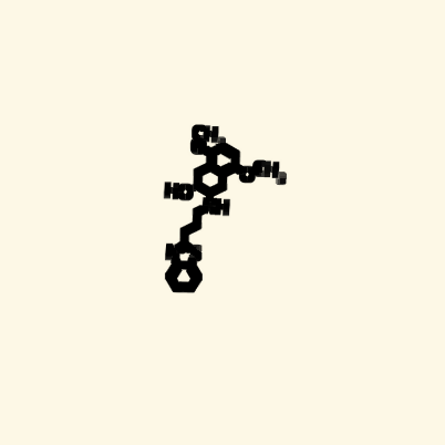 COc1ccc(OC)c2c1C[C@@H](O)[C@H](NCCCc1nc3ccccc3s1)C2